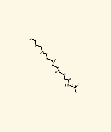 CCCCOCCOCCOCCCNC(C)=O